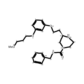 COCCCOc1cccc(OCC[C@@H]2CN(C(=O)OCc3ccccc3)CCN2)c1